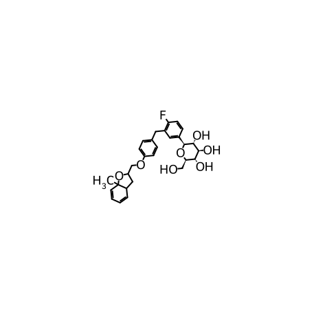 CC12C=CC=CC1CC(COc1ccc(Cc3cc([C@@H]4O[C@H](CO)[C@@H](O)[C@H](O)[C@H]4O)ccc3F)cc1)O2